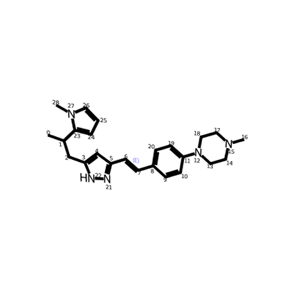 CC(Cc1cc(/C=C/c2ccc(N3CCN(C)CC3)cc2)n[nH]1)c1cccn1C